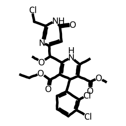 CCOC(=O)C1=C(C(OC)c2cc(=O)[nH]c(CCl)n2)NC(C)=C(C(=O)OC)C1c1cccc(Cl)c1Cl